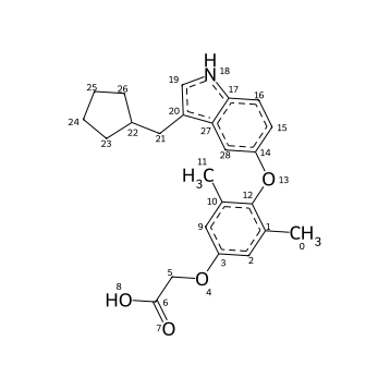 Cc1cc(OCC(=O)O)cc(C)c1Oc1ccc2[nH]cc(CC3CCCC3)c2c1